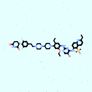 CCOc1cc(N2CCC(N3CCN(CCc4cc(F)c([C@H]5CCC(=O)NC5=O)c(F)c4)CC3)CC2)c(CC)cc1Nc1ncc(Br)c(Nc2ccc3nc(CC)ccc3c2P(C)(C)=O)n1